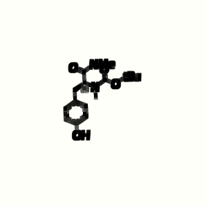 CNC(=O)[C@H](Cc1ccc(O)cc1)N(C)C(=O)OC(C)(C)C